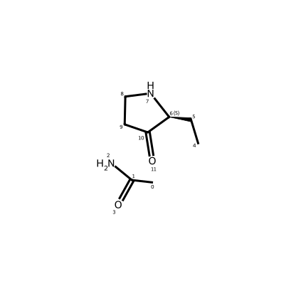 CC(N)=O.CC[C@@H]1NCCC1=O